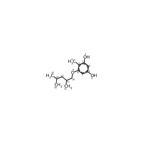 Cc1c(O)cc(O)cc1OCC(C)CC(C)C